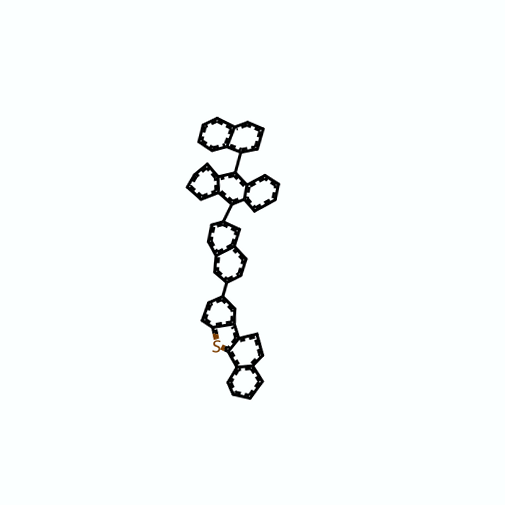 c1ccc2c(-c3c4ccccc4c(-c4ccc5cc(-c6ccc7sc8c9ccccc9ccc8c7c6)ccc5c4)c4ccccc34)cccc2c1